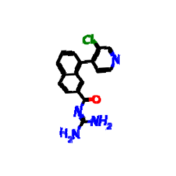 NC(N)=NC(=O)c1ccc2cccc(-c3ccncc3Cl)c2c1